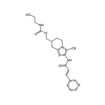 N#Cc1c(NC(=O)/C=C/c2cccnc2)sc2c1CCC(COC(=O)NCCO)C2